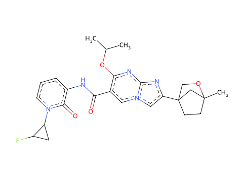 CC(C)Oc1nc2nc(C34CCC(C)(C3)OC4)cn2cc1C(=O)Nc1cccn(C2CC2F)c1=O